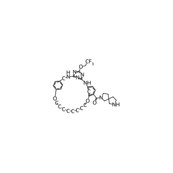 O=C(c1ccc2cc1OCCCCCCCCOc1ccc(cc1)CNc1nc(nc(OCC(F)(F)F)n1)N2)N1CCC2(CCNC2)C1